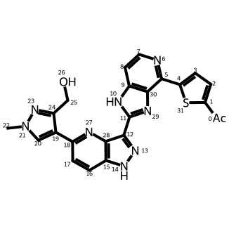 CC(=O)c1ccc(-c2nccc3[nH]c(-c4n[nH]c5ccc(-c6cn(C)nc6CO)nc45)nc23)s1